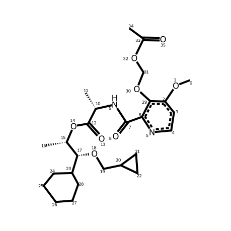 COc1ccnc(C(=O)N[C@@H](C)C(=O)O[C@@H](C)[C@H](OCC2CC2)C2CCCCC2)c1OCOC(C)=O